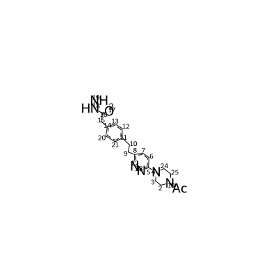 CC(=O)N1CCN(c2ccc(CCc3ccc(CC(=O)NN)cc3)nn2)CC1